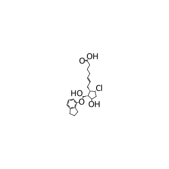 O=C(O)CCCC=CC[C@@H]1[C@H](C(O)Oc2cccc3c2CCC3)[C@H](O)C[C@H]1Cl